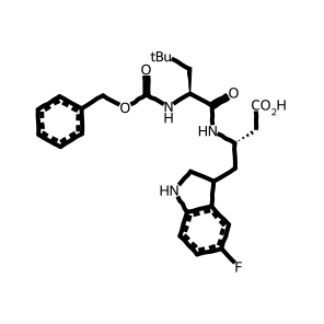 CC(C)(C)C[C@H](NC(=O)OCc1ccccc1)C(=O)N[C@H](CC(=O)O)CC1CNc2ccc(F)cc21